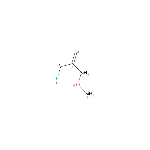 C=C(CF)[SiH2]O[SiH3]